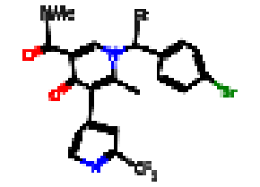 CCC(c1ccc(Br)cc1)n1cc(C(=O)NC)c(=O)c(-c2ccnc(C(F)(F)F)c2)c1C